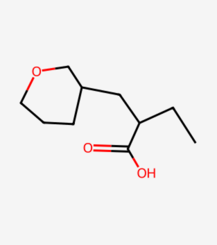 CCC(CC1CCCOC1)C(=O)O